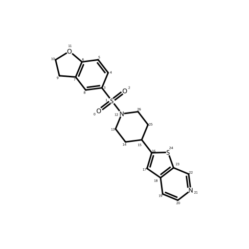 O=S(=O)(c1ccc2c(c1)CCO2)N1CCC(c2cc3ccncc3s2)CC1